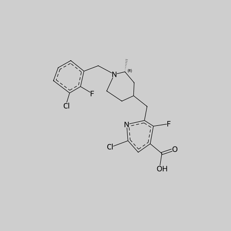 C[C@@H]1CC(Cc2nc(Cl)cc(C(=O)O)c2F)CCN1Cc1cccc(Cl)c1F